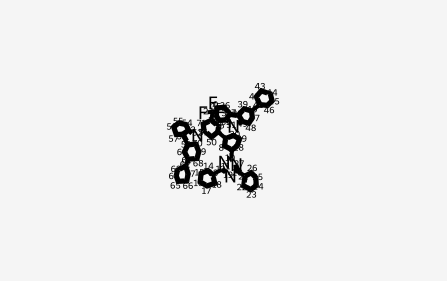 FC(F)(F)c1cc(-c2cc(-c3nc(-c4ccccc4)nc(-c4ccccc4)n3)ccc2-n2c3ccccc3c3cc(-c4ccccc4)ccc32)cc(-n2c3ccccc3c3cc(-c4ccccc4)ccc32)c1